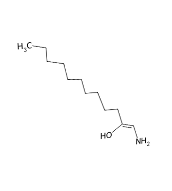 CCCCCCCCCC/C(O)=C/N